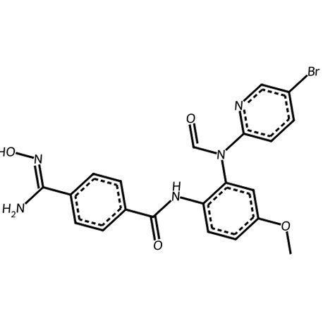 COc1ccc(NC(=O)c2ccc(C(N)=NO)cc2)c(N(C=O)c2ccc(Br)cn2)c1